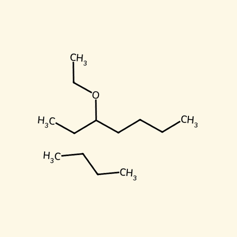 CCCC.CCCCC(CC)OCC